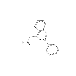 NC(=O)Cc1cc(-c2ccccc2)nc2ccccc12